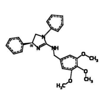 COc1cc(CNC2=N[C@@H](c3ccccc3)CN2c2ccccc2)cc(OC)c1OC